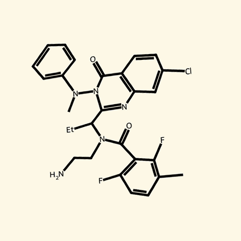 CCC(c1nc2cc(Cl)ccc2c(=O)n1N(C)c1ccccc1)N(CCN)C(=O)c1c(F)ccc(C)c1F